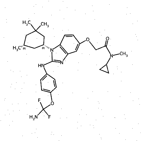 C[C@H]1C[C@@H](n2c(Nc3ccc(OC(N)(F)F)cc3)nc3cc(OCC(=O)N(C)C4CC4)ccc32)CC(C)(C)C1